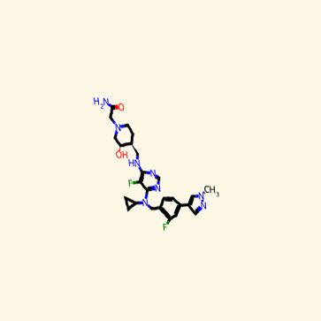 Cn1cc(-c2ccc(CN(c3ncnc(NC[C@@H]4CCN(CC(N)=O)C[C@H]4O)c3F)C3CC3)c(F)c2)cn1